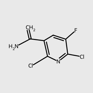 C=C(N)c1cc(F)c(Cl)nc1Cl